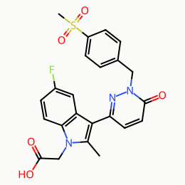 Cc1c(-c2ccc(=O)n(Cc3ccc(S(C)(=O)=O)cc3)n2)c2cc(F)ccc2n1CC(=O)O